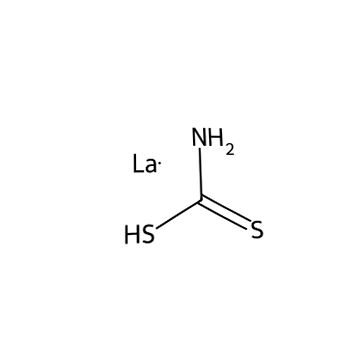 NC(=S)S.[La]